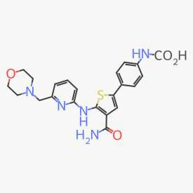 NC(=O)c1cc(-c2ccc(NC(=O)O)cc2)sc1Nc1cccc(CN2CCOCC2)n1